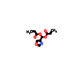 C=CC(=O)OC(OC(=O)C=C)c1cocn1